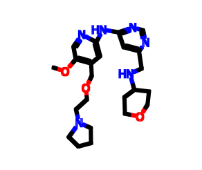 COc1cnc(Nc2cc(CNC3CCOCC3)ncn2)cc1COCCN1CCCC1